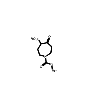 CC(C)(C)OC(=O)N1CCC(=O)C(C(=O)O)CC1